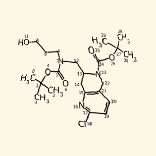 CC(C)(C)OC(=O)N(CCCO)CC1Cc2nc(Cl)ccc2CN1C(=O)OC(C)(C)C